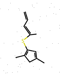 C=C/C=C(\C)SC1=C(C)CC(C)=C1